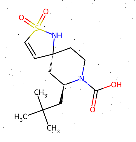 CC(C)(C)C[C@H]1C[C@@]2(C=CS(=O)(=O)N2)CCN1C(=O)O